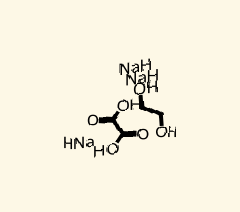 O=C(O)C(=O)O.OCCO.[NaH].[NaH].[NaH]